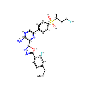 CNCc1ccc(C2=NNC(c3nc(-c4ccc(S(=O)(=O)C(C)CCF)cc4)cnc3N)O2)c(F)c1